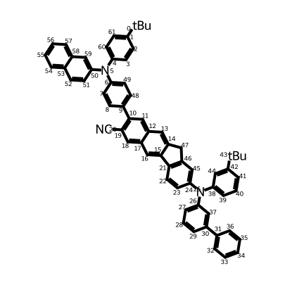 CC(C)(C)c1ccc(N(c2ccc(-c3cc4cc5c(cc4cc3C#N)-c3ccc(N(c4cccc(-c6ccccc6)c4)c4cccc(C(C)(C)C)c4)cc3C5)cc2)c2ccc3ccccc3c2)cc1